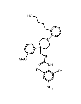 COc1cccc(C2(CNC(=O)Nc3c(C(C)C)cc(N)cc3C(C)C)CCN(c3ccccc3OCCCO)CC2)c1